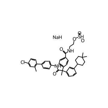 Cc1cc(Cl)ccc1-c1ccc(NC(=O)C(C)(c2ccc(C(=O)NCCO[SH](=O)=O)cc2)c2cccc(C3CCC(C)(C)CC3)c2)cc1.[NaH]